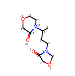 CC(CCN1COCC1=O)N1CCOCC1=O